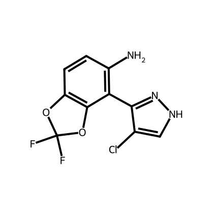 Nc1ccc2c(c1-c1n[nH]cc1Cl)OC(F)(F)O2